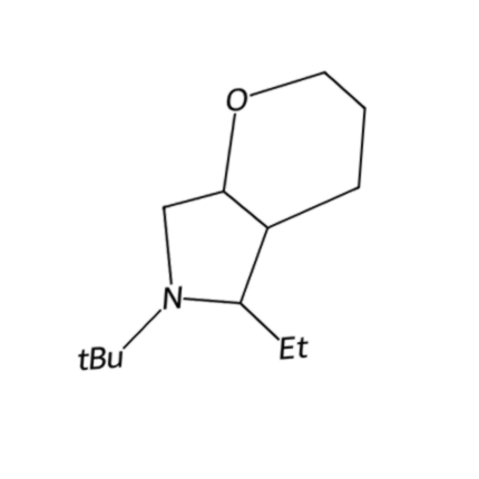 CCC1C2CCCOC2CN1C(C)(C)C